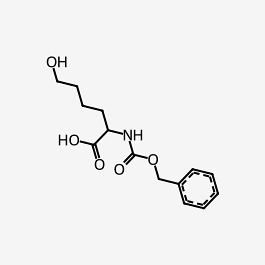 O=C(NC(CCCCO)C(=O)O)OCc1ccccc1